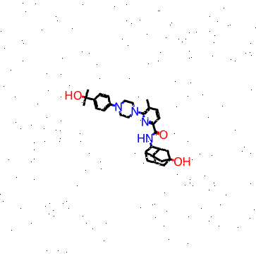 Cc1ccc(C(=O)NC2C3CC4CC2CC(O)(C4)C3)nc1N1CCN(c2ccc(C(C)(C)O)cc2)CC1